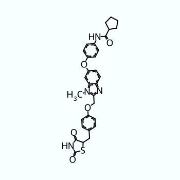 Cn1c(COc2ccc(CC3SC(=O)NC3=O)cc2)nc2ccc(Oc3ccc(NC(=O)C4CCCC4)cc3)cc21